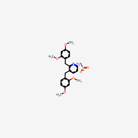 COc1ccc(Cc2cccnc2Cc2ccc(OC)cc2OC)c(OC)c1.N[SH](=O)=O